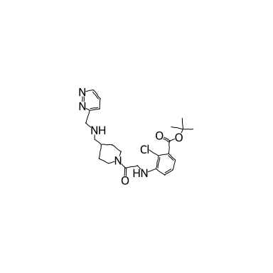 CC(C)(C)OC(=O)c1cccc(NCC(=O)N2CCC(CNCc3cccnn3)CC2)c1Cl